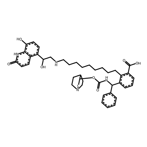 O=C(NC(c1ccccc1)c1cccc(C(=O)O)c1CCCCCCCCCNCC(O)c1ccc(O)c2[nH]c(=O)ccc12)OC1CN2CCC1CC2